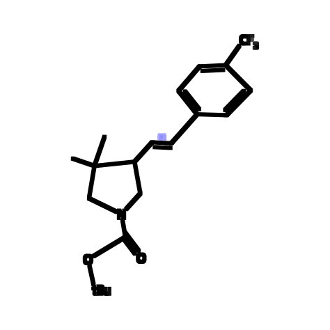 CC(C)(C)OC(=O)N1CC(/C=C/c2ccc(C(F)(F)F)cc2)C(C)(C)C1